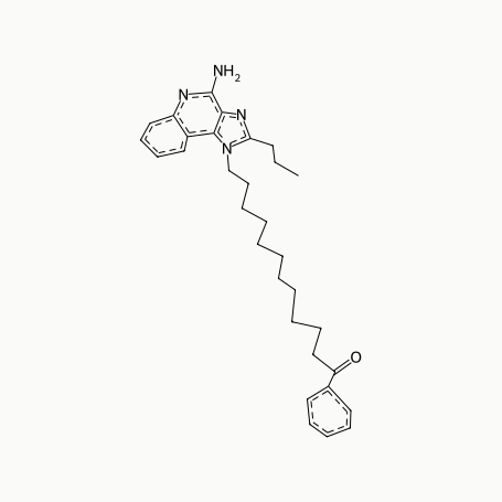 CCCc1nc2c(N)nc3ccccc3c2n1CCCCCCCCCCCC(=O)c1ccccc1